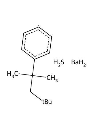 CC(C)(C)CC(C)(C)c1cc[c]cc1.S.[BaH2]